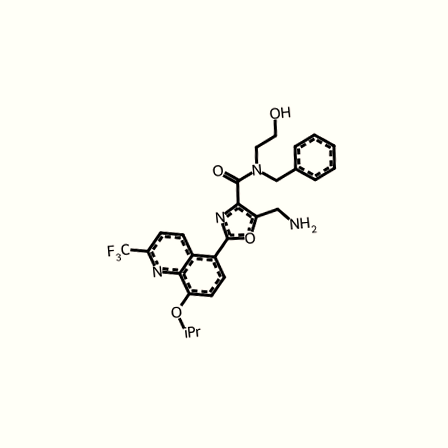 CC(C)Oc1ccc(-c2nc(C(=O)N(CCO)Cc3ccccc3)c(CN)o2)c2ccc(C(F)(F)F)nc12